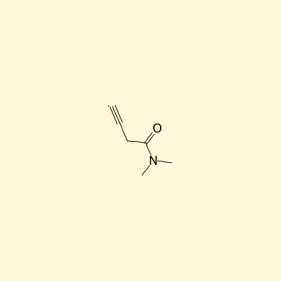 [C]#CCC(=O)N(C)C